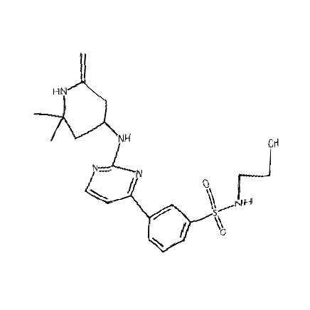 C=C1CC(Nc2nccc(-c3cccc(S(=O)(=O)NCCO)c3)n2)CC(C)(C)N1